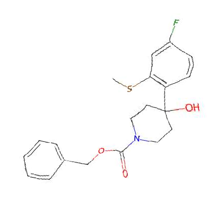 CSc1cc(F)ccc1C1(O)CCN(C(=O)OCc2ccccc2)CC1